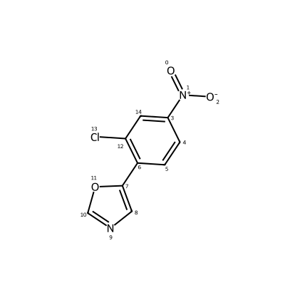 O=[N+]([O-])c1ccc(-c2cnco2)c(Cl)c1